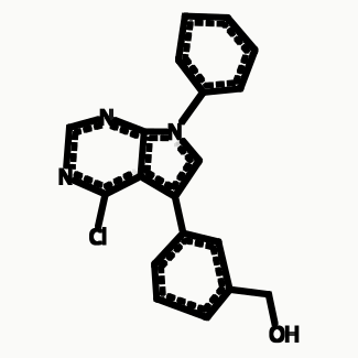 OCc1cccc(-c2cn(-c3ccccc3)c3ncnc(Cl)c23)c1